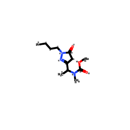 CC(C)CCCN1N=C(C(C)N(C)C(=O)OC(C)(C)C)CC1=O